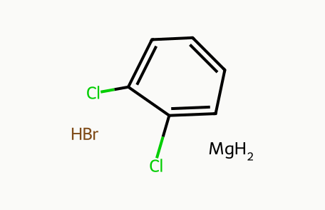 Br.Clc1ccccc1Cl.[MgH2]